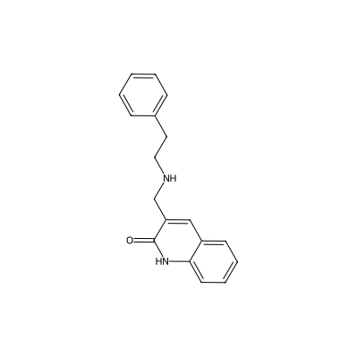 O=c1[nH]c2ccccc2cc1CNCCc1ccccc1